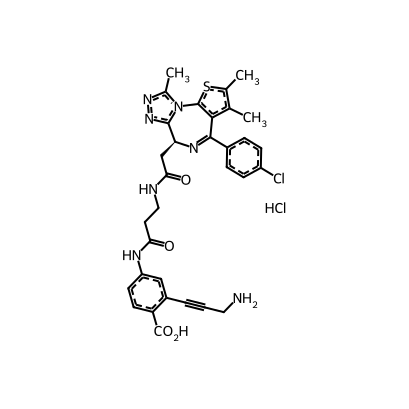 Cc1sc2c(c1C)C(c1ccc(Cl)cc1)=N[C@@H](CC(=O)NCCC(=O)Nc1ccc(C(=O)O)c(C#CCN)c1)c1nnc(C)n1-2.Cl